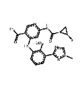 CCC(=O)c1cnc(NC(=O)[C@H]2C[C@H]2F)cc1Nc1cccc(-c2ncn(C)n2)c1OC